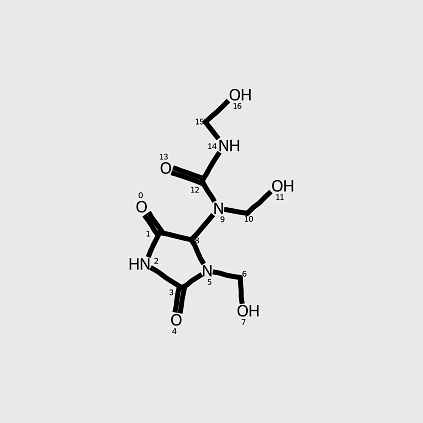 O=C1NC(=O)N(CO)C1N(CO)C(=O)NCO